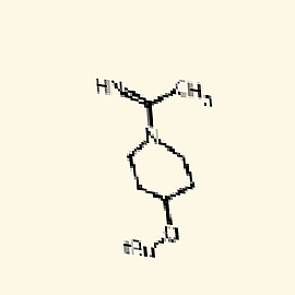 CC(=N)N1CCC(OC(C)(C)C)CC1